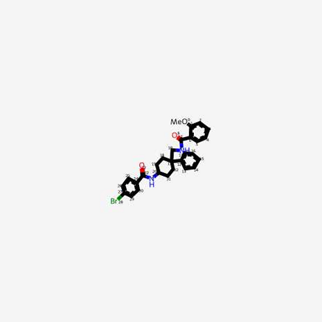 COc1ccccc1C(=O)NCC1(c2ccccc2)CCC(NC(=O)c2ccc(Br)cc2)CC1